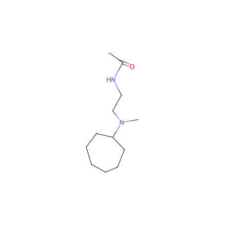 CC(=O)NCCN(C)C1CCCCCC1